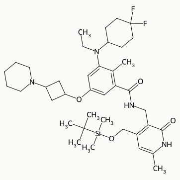 CCN(c1cc(OC2CC(N3CCCCC3)C2)cc(C(=O)NCc2c(CO[Si](C)(C)C(C)(C)C)cc(C)[nH]c2=O)c1C)C1CCC(F)(F)CC1